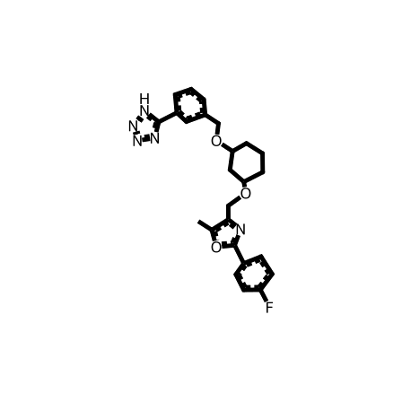 Cc1oc(-c2ccc(F)cc2)nc1COC1CCCC(OCc2cccc(-c3nnn[nH]3)c2)C1